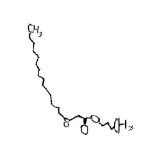 CCCCCCCCCCCCCCC1OC1CC(=O)OCCCC